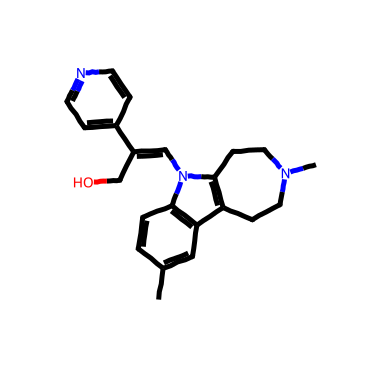 Cc1ccc2c(c1)c1c(n2/C=C(\CO)c2ccncc2)CCN(C)CC1